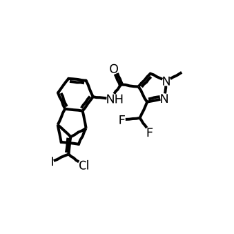 Cn1cc(C(=O)Nc2cccc3c2C2CCC3/C2=C(/Cl)I)c(C(F)F)n1